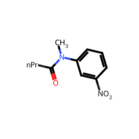 CCCC(=O)N(C)c1cccc([N+](=O)[O-])c1